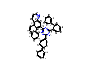 c1ccc(-c2ccc(-c3nc(-c4ccccc4-c4ccccc4)nc(-c4cc5ncccc5c5ccc6ccccc6c45)n3)cc2)cc1